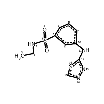 CCNS(=O)(=O)c1cccc(Nc2nncs2)c1